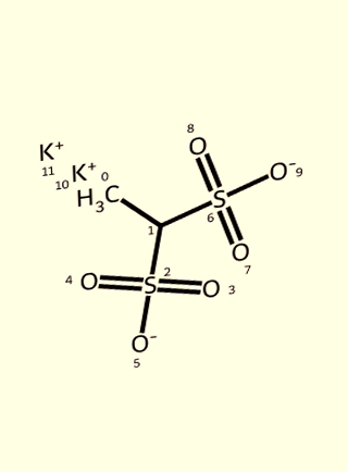 CC(S(=O)(=O)[O-])S(=O)(=O)[O-].[K+].[K+]